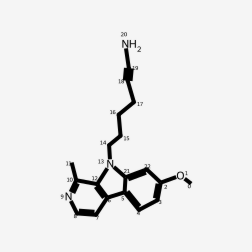 COc1ccc2c3ccnc(C)c3n(CCCCC#CN)c2c1